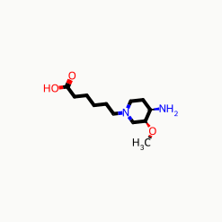 CO[C@H]1CN(CCCCCC(=O)O)CC[C@H]1N